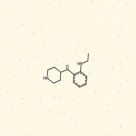 CCNc1ccccc1NC1CCNCC1